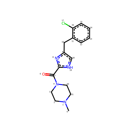 CN1CCN(C(=O)c2nc(Cc3ccccc3Cl)c[nH]2)CC1